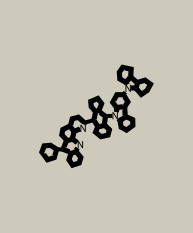 c1ccc(-c2c3ccccc3nc3c2ccc2ccc(-c4c5ccccc5c(-n5c6ccccc6c6cc(-n7c8ccccc8c8ccccc87)ccc65)c5ccccc45)nc23)cc1